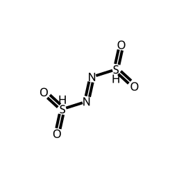 O=[SH](=O)N=N[SH](=O)=O